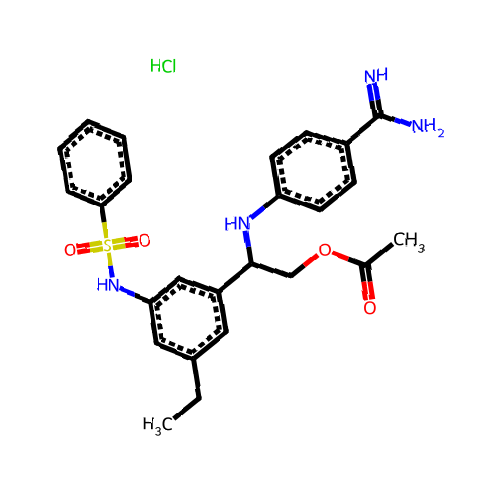 CCc1cc(NS(=O)(=O)c2ccccc2)cc(C(COC(C)=O)Nc2ccc(C(=N)N)cc2)c1.Cl